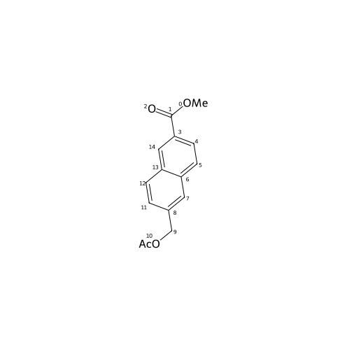 COC(=O)c1ccc2cc(COC(C)=O)ccc2c1